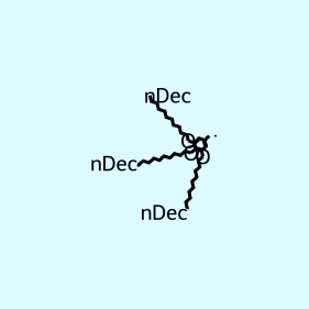 [CH2]c1cc(OCCCCCCCCCCCCCCCCCCCC)c(OCCCCCCCCCCCCCCCCCCCC)c(OCCCCCCCCCCCCCCCCCCCC)c1